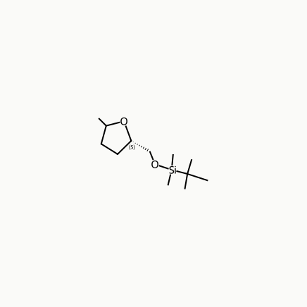 CC1CC[C@@H](CO[Si](C)(C)C(C)(C)C)O1